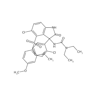 CCN(CC)C(=O)NC1(c2ccccc2Cl)C(=O)Nc2ccc(Cl)c(S(=O)(=O)c3ccc(OC)cc3OC)c21